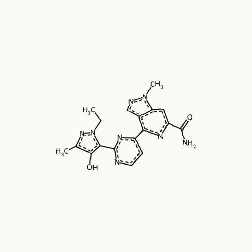 CCn1nc(C)c(O)c1-c1nccc(-c2nc(C(N)=O)cc3c2cnn3C)n1